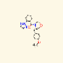 COc1ccc(C[C@@H]2COCCN2C(=O)c2ccccc2-n2nccn2)cc1